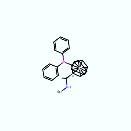 CC(NC(C)(C)C)[C@@]12[CH]3[CH]4[CH]5[C]1(P(c1ccccc1)c1ccccc1)[Fe]45321678[CH]2[CH]1[CH]6[CH]7[CH]28